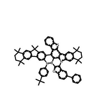 CC(C)(C)c1ccc(N2B3c4oc5ccc(-c6ccccc6)cc5c4-n4c5cc6c(cc5c5c7sc8ccccc8c7c(c3c54)-c3cc4c(cc32)-c2cc3c(cc2C4(C)C)C(C)(C)CCC3(C)C)C(C)(C)CCC6(C)C)cc1